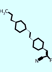 CCC[C@H]1CC[C@H](CC[C@H]2CC[C@H](/C=C(/F)C#N)CC2)CC1